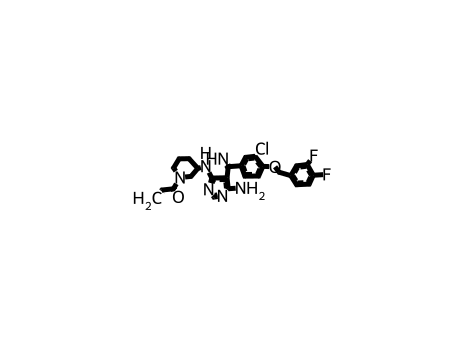 C=CC(=O)N1CCCC(Nc2ncnc(N)c2C(=N)c2ccc(OCc3ccc(F)c(F)c3)c(Cl)c2)C1